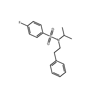 CC(C)N(CCc1ccccc1)S(=O)(=O)c1ccc(F)cc1